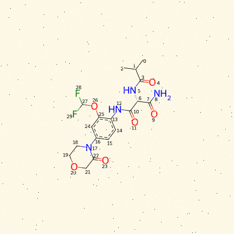 CC(C)C(=O)N[C@H](C(N)=O)C(=O)Nc1ccc(N2CCOCC2=O)cc1OC(F)F